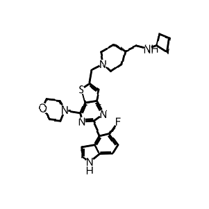 Fc1ccc2[nH]ccc2c1-c1nc(N2CCOCC2)c2sc(CN3CCC(CNC4CCC4)CC3)cc2n1